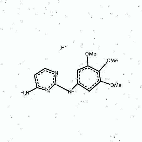 COc1cc(Nc2nccc(N)n2)cc(OC)c1OC.[H+]